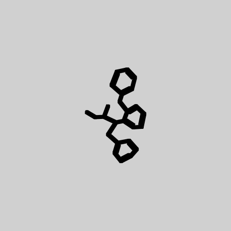 CCC(C)[C](Cc1ccccc1)c1ccccc1Cc1ccccc1